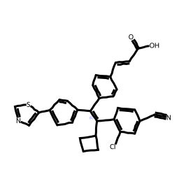 N#Cc1ccc(/C(=C(\c2ccc(C=CC(=O)O)cc2)c2ccc(-c3cncs3)cc2)C2CCC2)c(Cl)c1